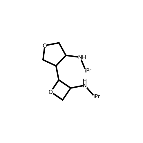 CC(C)NC1COCC1C1OCC1NC(C)C